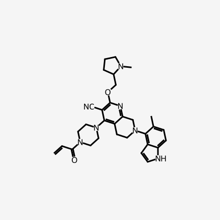 C=CC(=O)N1CCN(c2c(C#N)c(OCC3CCCN3C)nc3c2CCN(c2c(C)ccc4[nH]ccc24)C3)CC1